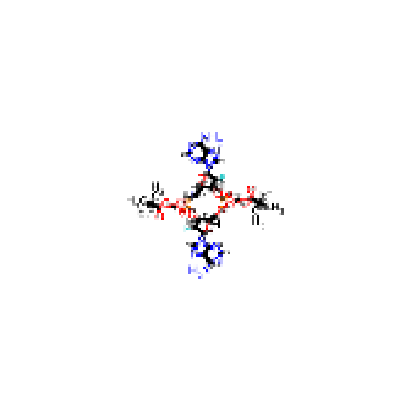 CCC(C)(C)C(=O)OCOP1(=O)/C=C/[C@H]2O[C@@H](n3cnc4c(N)ncnc43)[C@H](F)[C@@H]2OP(=O)(OCOC(=O)C(C)(C)CC)OC[C@H]2O[C@@H](n3cnc4c(N)ncnc43)[C@H](F)[C@@H]2O1